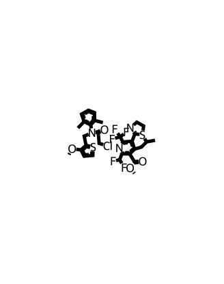 COC(=O)c1c(C(F)F)nc(C(F)(F)F)c(C2=NCCS2)c1CC(C)C.COc1ccsc1CN(C(=O)CCl)c1c(C)cccc1C